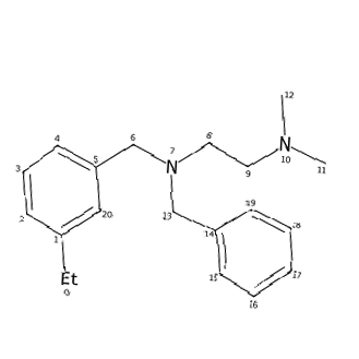 CCc1cccc(CN(CCN(C)C)Cc2ccccc2)c1